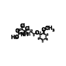 COc1ccccc1OCCCC(Cl)(CCl)NC(=O)O